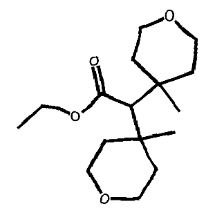 CCOC(=O)C(C1(C)CCOCC1)C1(C)CCOCC1